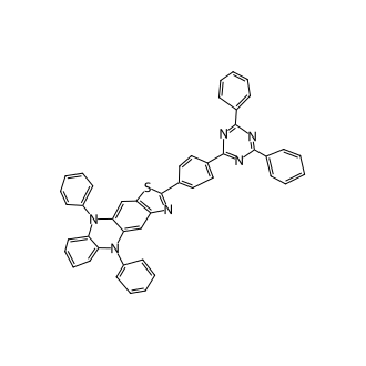 c1ccc(-c2nc(-c3ccccc3)nc(-c3ccc(-c4nc5cc6c(cc5s4)N(c4ccccc4)c4ccccc4N6c4ccccc4)cc3)n2)cc1